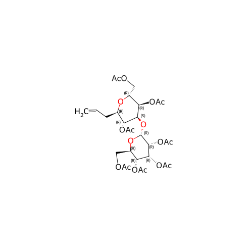 C=CC[C@H]1O[C@H](COC(C)=O)[C@@H](OC(C)=O)[C@@H](O[C@H]2O[C@H](COC(C)=O)[C@@H](OC(C)=O)[C@@H](OC(C)=O)[C@H]2OC(C)=O)[C@@H]1OC(C)=O